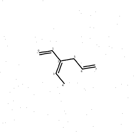 [CH]=CC(=CC)CC=C